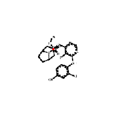 [C-]#[N+]c1ccc(Nc2ncnc(OC3CC4CCC(C3)N4S(=O)(=O)OC(C)C)c2F)c(Cl)c1